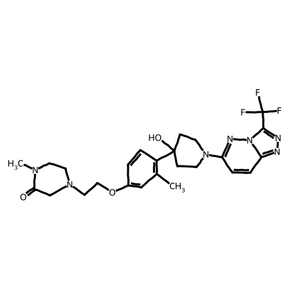 Cc1cc(OCCN2CCN(C)C(=O)C2)ccc1C1(O)CCN(c2ccc3nnc(C(F)(F)F)n3n2)CC1